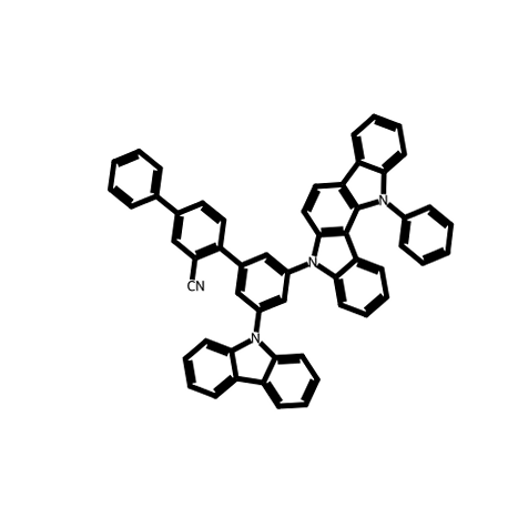 N#Cc1cc(-c2ccccc2)ccc1-c1cc(-n2c3ccccc3c3ccccc32)cc(-n2c3ccccc3c3c2ccc2c4ccccc4n(-c4ccccc4)c23)c1